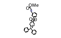 COC(=O)/C=C/c1cccc(S(=O)(=O)N2CCN(C(c3ccccc3)c3ccccc3)CC2)c1